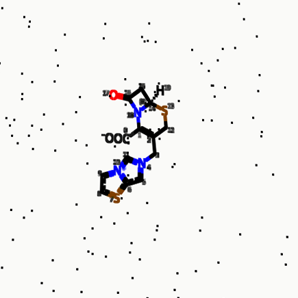 O=C([O-])C1=C(Cn2cc3scc[n+]3c2)CS[C@@H]2CC(=O)N12